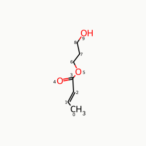 CC=CC(=O)OCCCO